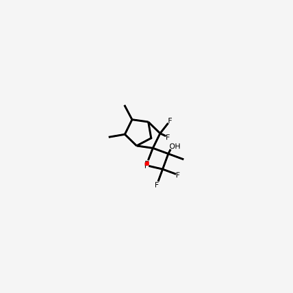 CC1C(C)C2CC1C(F)(F)C2(F)C(C)(O)C(F)(F)F